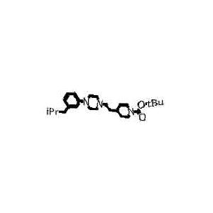 CC(C)Cc1cccc(N2CCN(CCC3CCN(C(=O)OC(C)(C)C)CC3)CC2)c1